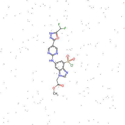 COC(=O)Cn1cnc2c(S(=O)(=O)Cl)cc(Nc3ncc(-c4nnc(C(F)F)o4)cn3)cc21